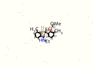 CCNCc1cccc(C)c1PC(CC)(CC)c1cccc(C)c1OCOC